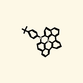 CC(C)(C)c1ccc(N2c3ccc4cccc5c4c3B3c4c-5cccc4-c4cccc5ccc2c3c45)cc1